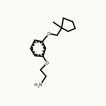 CC1(COc2cccc(OCCN)c2)CCCC1